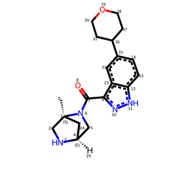 C[C@]12CN[C@H](CN1C(=O)c1n[nH]c3ccc(C4CCOCC4)cc13)C2